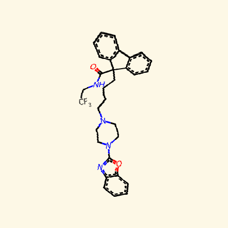 O=C(NCC(F)(F)F)C1(CCCCN2CCN(c3nc4ccccc4o3)CC2)c2ccccc2-c2ccccc21